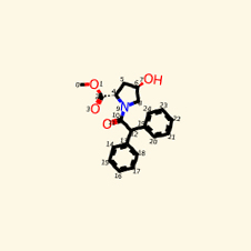 COC(=O)[C@@H]1C[C@@H](O)CN1C(=O)C(c1ccccc1)c1ccccc1